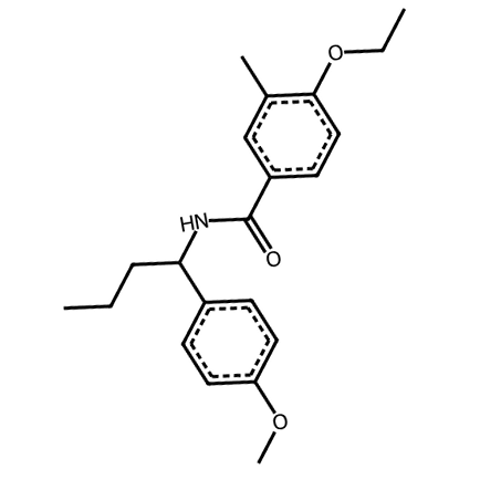 CCCC(NC(=O)c1ccc(OCC)c(C)c1)c1ccc(OC)cc1